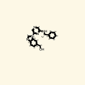 C[C@H](Nc1cncc(-n2cnc3ccc(CO)cc32)n1)c1ccccc1